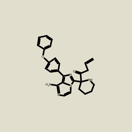 C=CCC(=O)C1(c2nc(-c3ccc(Oc4ccccc4)cc3)c3c(N)nccn23)CCCCN1